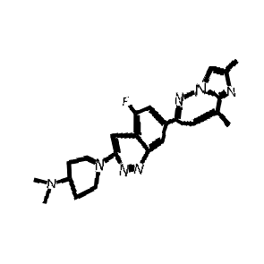 Cc1cn2nc(-c3cc(F)c4cc(N5CCC(N(C)C)CC5)nnc4c3)cc(C)c2n1